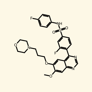 COc1cc2ncnc(-c3ccc(S(=O)(=O)Nc4ccc(F)cc4)cc3F)c2cc1OCCCN1CCOCC1